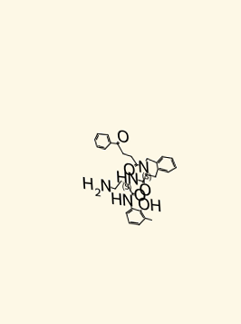 Cc1cccc(NC(=O)[C@H](CCN)NC(=O)[C@@H]2Cc3ccccc3CN2C(=O)CCC(=O)c2ccccc2)c1O